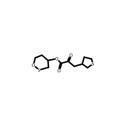 O=C(CC1CCSC1)C(=O)OC1CCOSC1